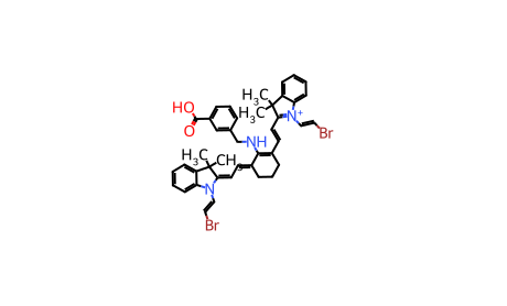 CC1(C)C(/C=C/C2=C(NCc3cccc(C(=O)O)c3)C(=C/C=C3/N(/C=C/Br)c4ccccc4C3(C)C)/CCC2)=[N+](/C=C/Br)c2ccccc21